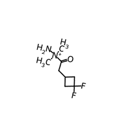 C[N+](C)(N)C(=O)CC1CC(F)(F)C1